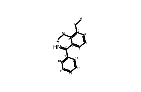 CCc1cccc(C(=N)c2ccccc2)c1CC